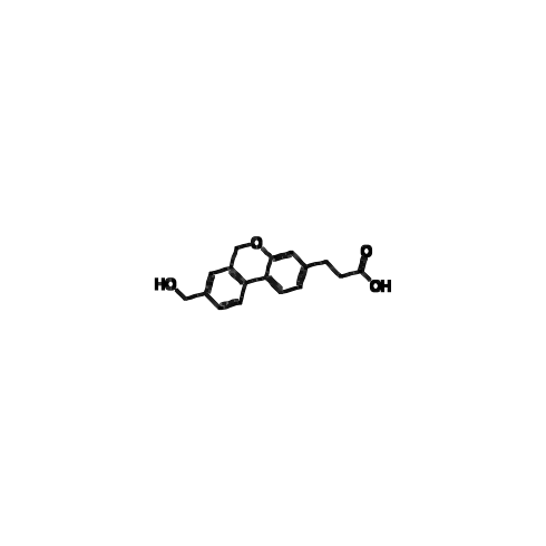 O=C(O)CCc1ccc2c(c1)OCc1cc(CO)ccc1-2